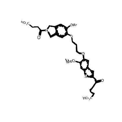 COc1cc2c(cc1OCCCOc1cc3cc(C(=O)CCC(=O)O)sc3cc1OC)CN(C(=O)CCC(=O)O)C2